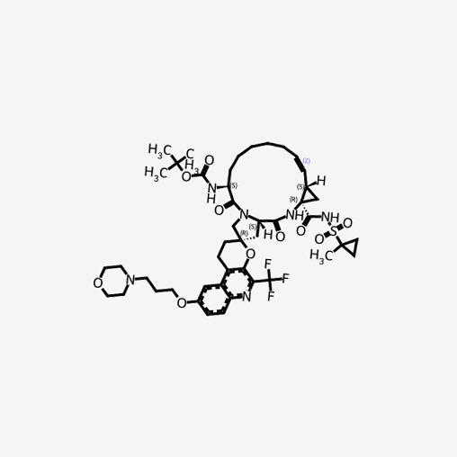 CC(C)(C)OC(=O)N[C@H]1CCCCC/C=C\[C@@H]2C[C@@]2(C(=O)NS(=O)(=O)C2(C)CC2)NC(=O)[C@@H]2C[C@]3(CCc4c(c(C(F)(F)F)nc5ccc(OCCCN6CCOCC6)cc45)O3)CN2C1=O